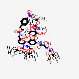 CN(C(=O)OC(C)(C)C)[C@@H]1[C@@H](O)[C@@H](O[C@@H]2[C@@H](O)[C@H](C3OC(CNC(=O)OCc4ccc([N+](=O)[O-])cc4)=CC[C@H]3NC(O)OC(C)(C)C)[C@@H](NC(=O)OC(C)(C)C)C[C@H]2NC(=O)[C@@H](O)CNC(=O)OC(C)(C)C)OC[C@]1(C)O